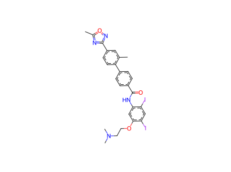 Cc1nc(-c2ccc(-c3ccc(C(=O)Nc4cc(OCCN(C)C)c(I)cc4I)cc3)c(C)c2)no1